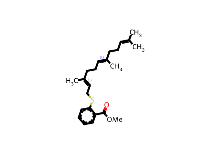 COC(=O)c1ccccc1SC/C=C(\C)CC/C=C(\C)CCC=C(C)C